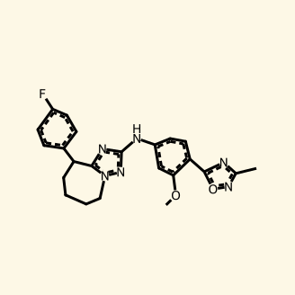 COc1cc(Nc2nc3n(n2)CCCCC3c2ccc(F)cc2)ccc1-c1nc(C)no1